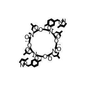 Cc1ccnn1Cc1ccc(C[C@H]2OC(=O)[C@H](CC(C)C)N(C)C(=O)[C@@H](C)OC(=O)[C@H](CC(C)C)N(C)C(=O)[C@@H](Cc3ccc(Cn4nccc4C)cc3)OC(=O)[C@H](CC(C)C)N(C)C(=O)[C@@H](C)OC(=O)[C@H](CC(C)C)N(C)C2=O)cc1